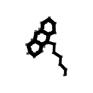 CCCCCCc1c2ccccc2nc2ccccc12